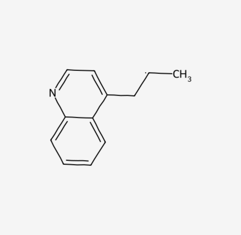 C[CH]Cc1ccnc2ccccc12